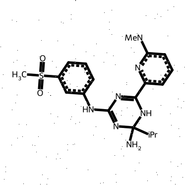 CNc1cccc(C2=NC(Nc3cccc(S(C)(=O)=O)c3)=NC(N)(C(C)C)N2)n1